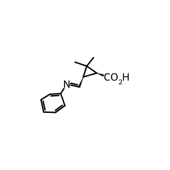 CC1(C)[C@H](C=Nc2ccccc2)[C@@H]1C(=O)O